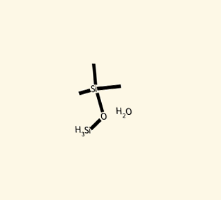 C[Si](C)(C)O[SiH3].O